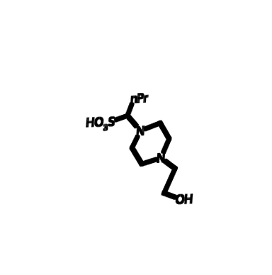 CCCC(N1CCN(CCO)CC1)S(=O)(=O)O